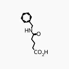 O=C(O)CCCC(=O)NCc1ccccc1